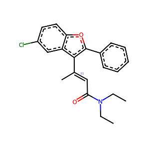 CCN(CC)C(=O)/C=C(\C)c1c(-c2ccccc2)oc2ccc(Cl)cc12